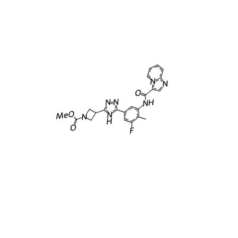 COC(=O)N1CC(c2nnc(-c3cc(F)c(C)c(NC(=O)c4cnc5ccccn45)c3)[nH]2)C1